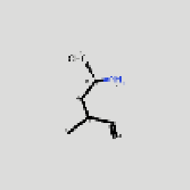 C=CC(C)C[C@H](N)C=O